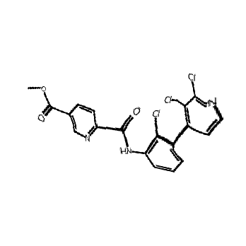 COC(=O)c1ccc(C(=O)Nc2cccc(-c3ccnc(Cl)c3Cl)c2Cl)nc1